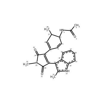 CC(=O)NC1C=CC(C2=C(c3c(C)[nH]c4ccccc34)C(=O)N(C)C2=O)=CC1C